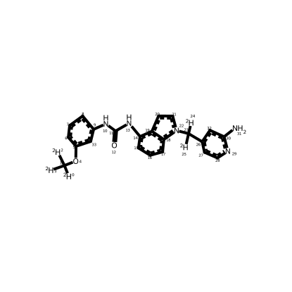 [2H]C([2H])([2H])Oc1cccc(NC(=O)Nc2cccc3c2ccn3C([2H])([2H])c2ccnc(N)c2)c1